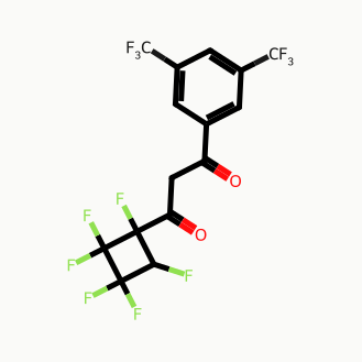 O=C(CC(=O)C1(F)C(F)C(F)(F)C1(F)F)c1cc(C(F)(F)F)cc(C(F)(F)F)c1